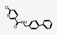 O=C(NCc1ccc(-c2ccccc2)cc1)c1ccc(Cl)nc1